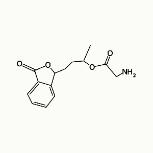 CC(CCC1OC(=O)c2ccccc21)OC(=O)CN